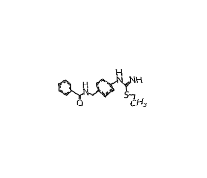 CCSC(=N)Nc1ccc(CNC(=O)c2ccccc2)cc1